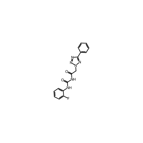 O=C(Cn1nnc(-c2ccccc2)n1)NC(=O)Nc1ccccc1F